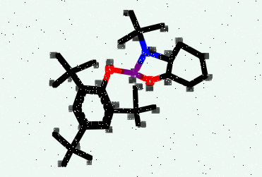 CC(C)(C)c1cc(C(C)(C)C)c(OP2OC3CCCCC3N2C(C)(C)C)c(C(C)(C)C)c1